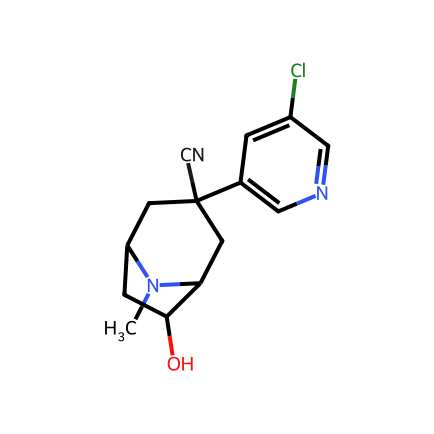 CN1C2CC(O)C1CC(C#N)(c1cncc(Cl)c1)C2